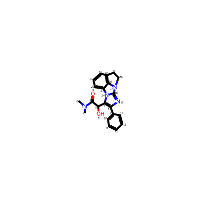 CN(C)C(=O)C(O)c1c(-c2ccccc2)nc2n3c4c(cccc4n12)CC3